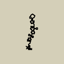 CC(C)(C)[Si](C)(C)OCCn1cc(S(=O)(=O)c2ccc3c(=O)n(Cc4ccn(C5CCCCO5)n4)ncc3c2)cn1